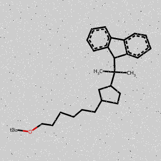 CC(C)(C)OCCCCCCC1CCC(C(C)(C)C2c3ccccc3-c3ccccc32)C1